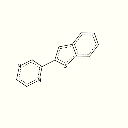 c1ccc2sc(-c3cnccn3)cc2c1